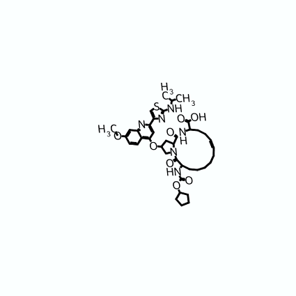 COc1ccc2c(OC3CC4C(=O)NC(C(=O)O)CCC=CCCCCCC(NC(=O)OC5CCCC5)C(=O)N4C3)cc(-c3csc(NC(C)C)n3)nc2c1